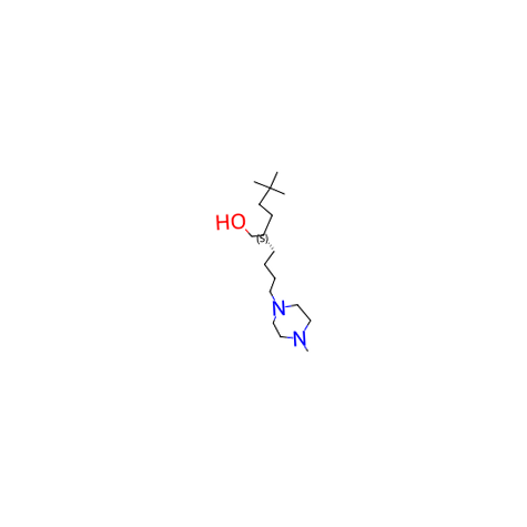 CN1CCN(CCCC[C@H](CO)CCC(C)(C)C)CC1